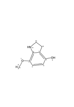 COc1ccc(O)c2c1NCC2